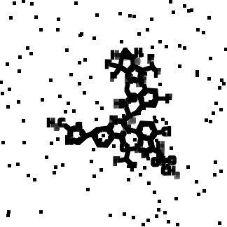 Cc1ncc(-c2ccc3c(=O)n(-c4ccc(Cl)c5c(NS(C)(=O)=O)nn(CC(F)F)c45)c([C@H](Cc4cc(F)cc(F)c4)NC(=O)Cn4nc(C(F)F)c5c4C(F)(F)[C@@H]4C[C@H]54)nc3c2)s1